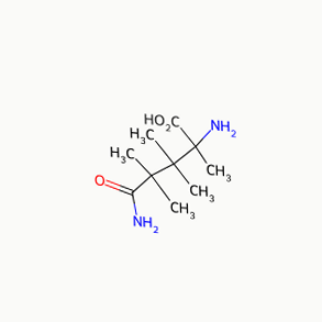 CC(C)(C(N)=O)C(C)(C)C(C)(N)C(=O)O